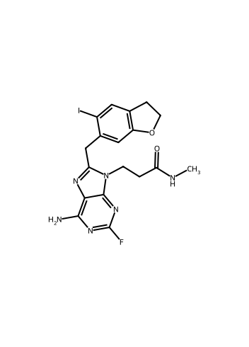 CNC(=O)CCn1c(Cc2cc3c(cc2I)CCO3)nc2c(N)nc(F)nc21